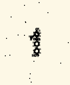 CC1(O)CCC(N2CCN(S(=O)(=O)c3ccc(C(F)(F)F)nc3C3CC3)CC2)CC1